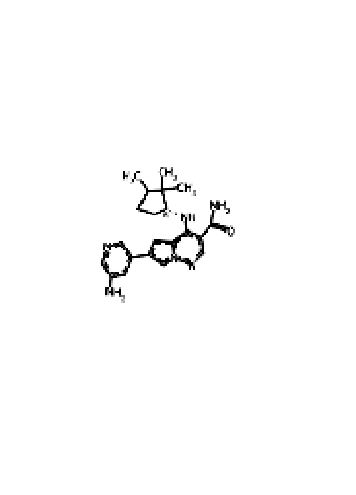 CC1CC[C@@H](Nc2c(C(N)=O)cnn3cc(-c4cncc(N)c4)cc23)C1(C)C